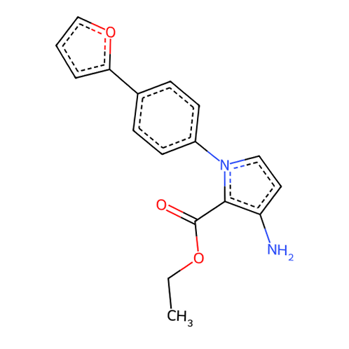 CCOC(=O)c1c(N)ccn1-c1ccc(-c2ccco2)cc1